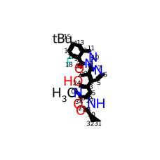 Cn1cc(-c2ccnc(-n3ncc4cc(C(C)(C)C)cc(F)c4c3=O)c2CO)cc(NC(=O)C2CC2)c1=O